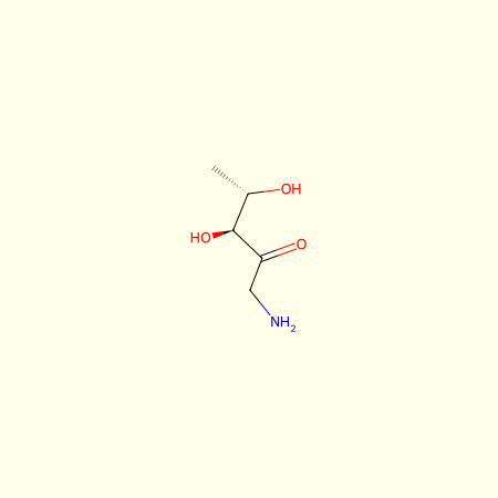 C[C@H](O)[C@H](O)C(=O)CN